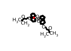 C=C(C)C(=O)CCOc1cccc(O[Si](Oc2cccc(OCCC(=O)C(=C)C)c2)(c2ccccc2)c2ccccc2)c1